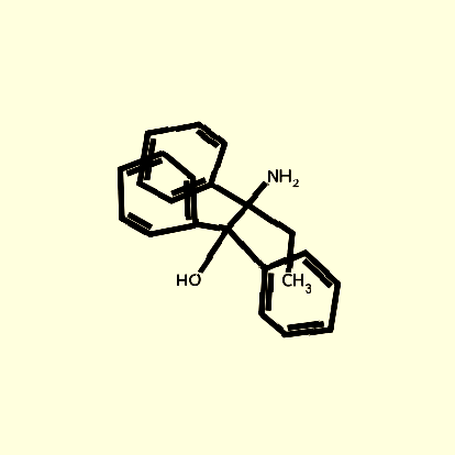 CCC(N)(c1ccccc1)C(O)(c1ccccc1)c1ccccc1